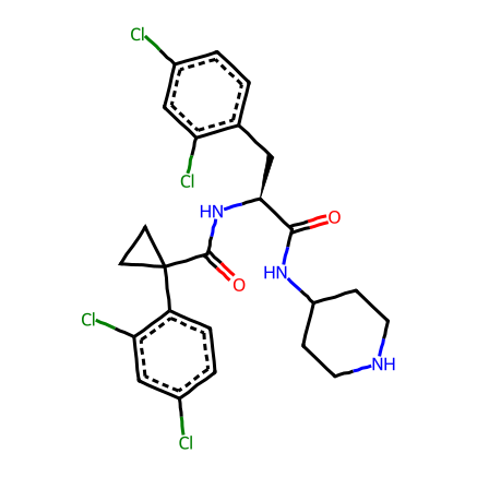 O=C(NC1CCNCC1)[C@H](Cc1ccc(Cl)cc1Cl)NC(=O)C1(c2ccc(Cl)cc2Cl)CC1